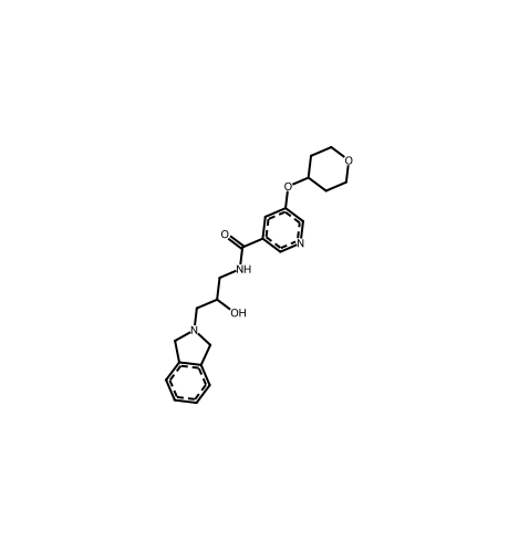 O=C(NCC(O)CN1Cc2ccccc2C1)c1cncc(OC2CCOCC2)c1